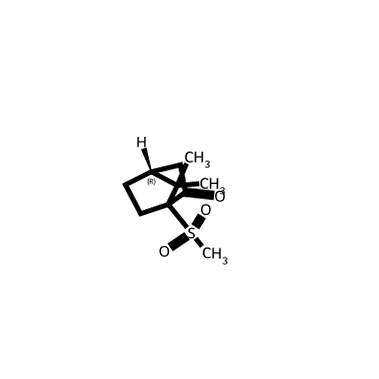 CC1(C)[C@@H]2CCC1(S(C)(=O)=O)C(=O)C2